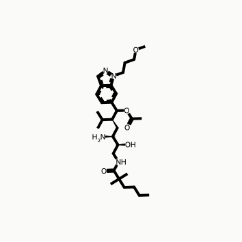 CCCCC(C)(C)C(=O)NC[C@H](O)[C@@H](N)C[C@@H](C(C)C)C(OC(C)=O)c1ccc2cnn(CCCOC)c2c1